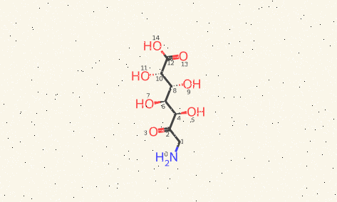 NCC(=O)[C@H](O)[C@@H](O)[C@@H](O)[C@H](O)C(=O)O